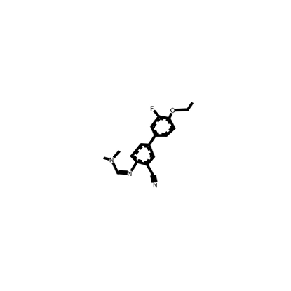 CCOc1ccc(-c2ccc(/N=C\N(C)C)c(C#N)c2)cc1F